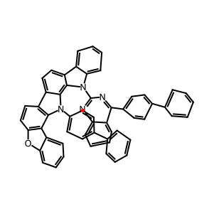 c1ccc(-c2ccc(-c3nc(-n4c5ccccc5c5ccc6c7ccc8oc9ccccc9c8c7n(-c7ccc(-c8ccccc8)cc7)c6c54)nc4ccccc34)cc2)cc1